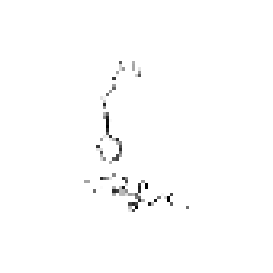 CCCS(=O)(=O)NCC(C)c1ccc(C#CCCCN)cc1